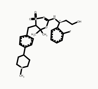 CN1CCC(c2ccc(CC3C(C)(C)OC(N[C@@H](CCO)c4ccccc4F)=NS3(=O)=O)cc2)CC1